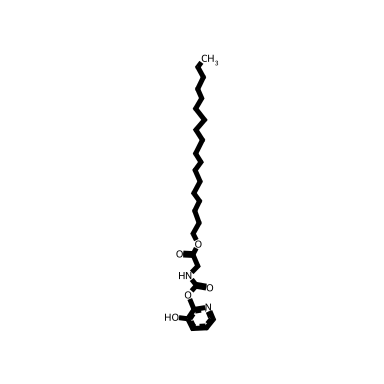 CCCCCCCCCCCCCCCCCCOC(=O)CNC(=O)Oc1ncccc1O